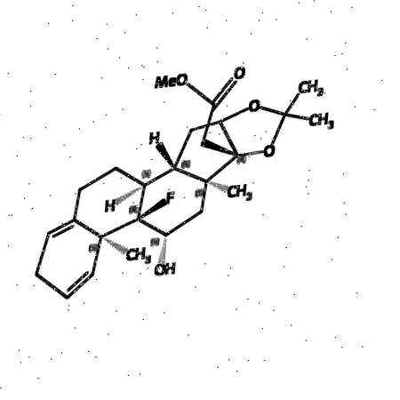 COC(=O)C[C@]12OC(C)(C)OC1C[C@H]1[C@@H]3CCC4=CCC=C[C@]4(C)[C@@]3(F)[C@@H](O)C[C@@]12C